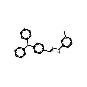 Cc1cccc(NN=Cc2ccc(N(c3ccccc3)c3ccccc3)cc2)c1